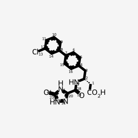 O=C(O)C[C@@H](Cc1ccc(-c2cccc(Cl)c2)cc1)NC(=O)c1n[nH]c(=O)[nH]1